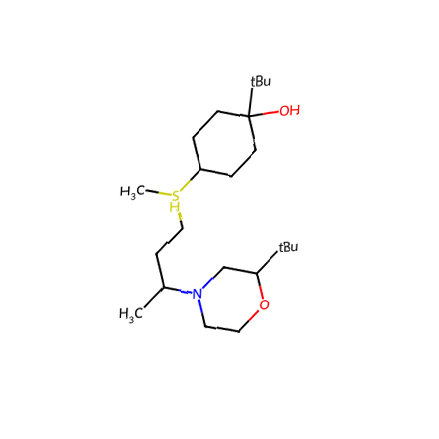 CC(CC[SH](C)C1CCC(O)(C(C)(C)C)CC1)N1CCOC(C(C)(C)C)C1